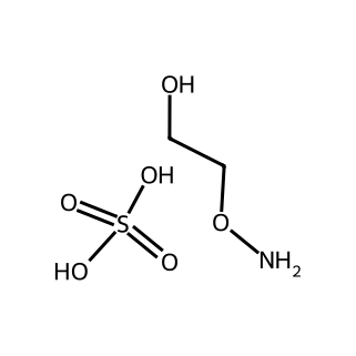 NOCCO.O=S(=O)(O)O